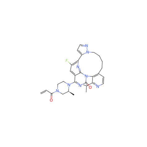 C=CC(=O)N1CCN(c2nc(=O)n3c4nc(c(F)cc24)-c2ccnn2CCCCc2ccnc(C(C)C)c2-3)[C@@H](C)C1